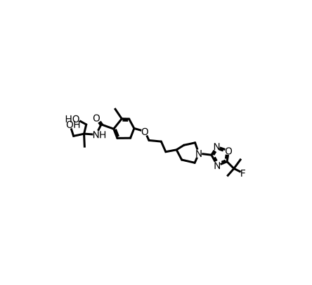 CC1=CC(OCCCC2CCN(c3noc(C(C)(C)F)n3)CC2)CC=C1C(=O)NC(C)(CO)CO